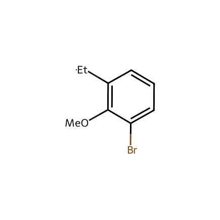 C[CH]c1cccc(Br)c1OC